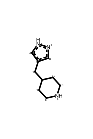 c1n[nH]cc1CC1CCNCC1